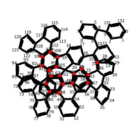 c1ccc(-c2ccccc2-c2ccccc2-c2ccc3c(c2)C2(c4cc(-c5ccccc5-c5ccccc5-c5ccccc5)ccc4-c4c(-c5ccccc5-c5ccccc5-c5ccccc5)cc(-c5ccccc5-c5ccccc5-c5ccccc5)cc42)c2cc(-c4ccccc4-c4ccccc4-c4ccccc4)cc(-c4ccccc4-c4ccccc4-c4ccccc4)c2-3)cc1